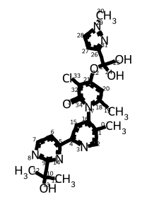 Cc1cnc(-c2ccnc(C(C)(C)O)n2)cc1-n1c(C)cc(OC(O)(O)c2ccn(C)n2)c(Cl)c1=O